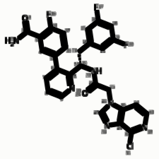 NC(=O)c1cc(-c2cccnc2[C@H](Cc2cc(F)cc(F)c2)NC(=O)Cn2cnc3c(Cl)nccc32)ccc1F